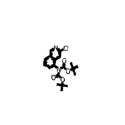 CC(C)(C)OC(=O)N(C(=O)OC(C)(C)C)c1cccc2cnc(Cl)cc12